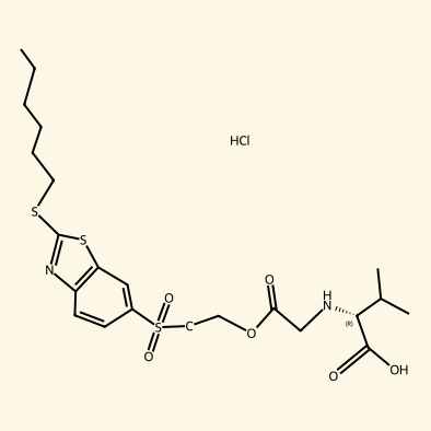 CCCCCCSc1nc2ccc(S(=O)(=O)CCOC(=O)CN[C@@H](C(=O)O)C(C)C)cc2s1.Cl